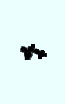 O=C1NC(=O)C(=Cc2ccc(CNc3cccc(-c4c(Cc5ccccc5)cnc5c(C(F)(F)F)cccc45)c3)cc2)S1